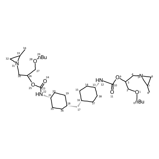 CCCCOCC(CN1CC1C)OC(=O)N[C@H]1CC[C@@H](C[C@H]2CC[C@@H](NC(=O)OC(COCCCC)CN3CC3C)CC2)CC1